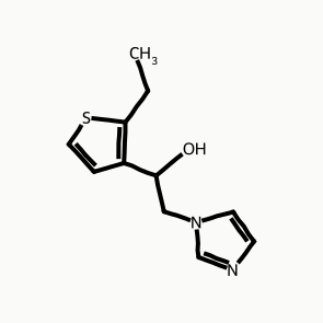 CCc1sccc1C(O)Cn1ccnc1